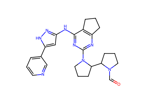 O=CN1CCCC1C1CCCN1c1nc2c(c(Nc3cc(-c4cccnc4)[nH]n3)n1)CCC2